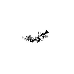 NS(=O)(=O)C1CC=C(c2ncc(Cl)c(Nc3cc(C4CC4)[nH]n3)n2)O1